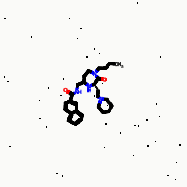 CCCCN1CCC(CNC(=O)c2ccc3ccccc3c2)N[C@@H](CCN2CCCCC2)C1=O